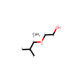 CC(C)COCCO.[CaH2]